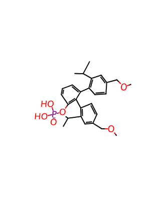 COCc1ccc(-c2cccc(OP(=O)(O)O)c2-c2ccc(COC)cc2C(C)C)c(C(C)C)c1